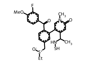 CC[S+]([O-])Cc1ccc(C(=O)c2ccc(OC)c(F)c2)c(-c2cn(C)c(=O)cc2C(C)NS)c1